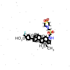 C=C(C)[C@@H]1CC[C@]2(NCCS(=O)(=O)CCN3CCS(=O)(=O)CC3)CC[C@]3(C)[C@H](CC[C@@H]4[C@@]5(C)CC=C(C6=CCC(CF)(C(=O)O)CC6)C(C)(C)[C@@H]5CC[C@]43C)[C@@H]12